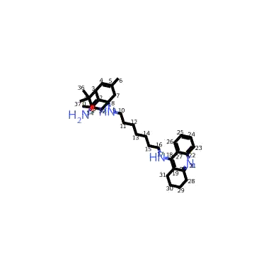 C/C=C1\C2C=C(C)CC1(NCCCCCCCNc1c3c(nc4ccccc14)CCCC3)CC(N)C2(C)C